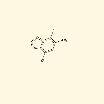 Cc1cc(Cl)c2sccc2c1Cl